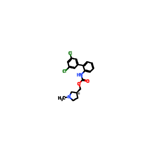 CN1CC[C@H](COC(=O)Nc2ccccc2-c2cc(Cl)cc(Cl)c2)C1